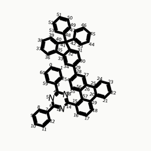 c1ccc(-c2nc(-c3ccccc3)nc(-c3cccc4c5ccccc5c5cc(-c6ccc7c(c6)-c6ccccc6C7(c6ccccc6)c6ccccc6)ccc5c34)n2)cc1